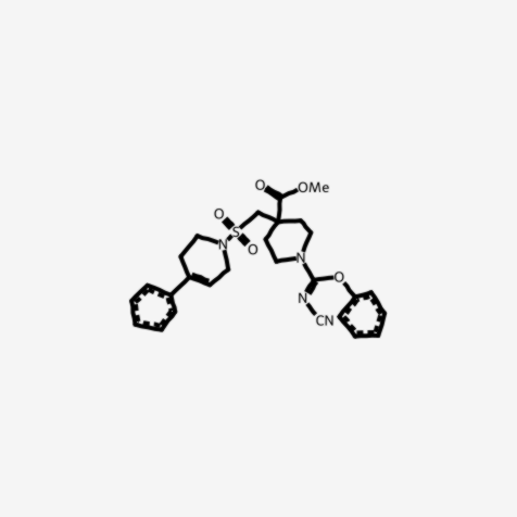 COC(=O)C1(CS(=O)(=O)N2CC=C(c3ccccc3)CC2)CCN(C(=NC#N)Oc2ccccc2)CC1